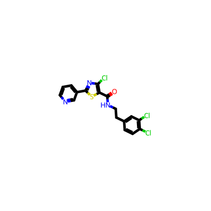 O=C(NCCc1ccc(Cl)c(Cl)c1)c1sc(-c2cccnc2)nc1Cl